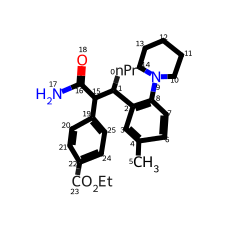 CCCC(c1cc(C)ccc1N1CCCCC1)C(C(N)=O)c1ccc(C(=O)OCC)cc1